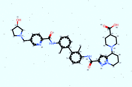 Cc1c(NC(=O)c2ccc(CN3CC[C@@H](O)C3)cn2)cccc1-c1cccc(NC(=O)c2cc3n(n2)CCCC3N2CCC(C(=O)O)CC2)c1C